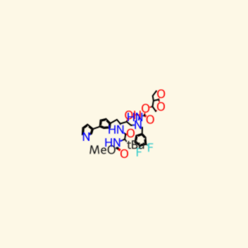 COC(=O)NC(C(=O)NC(Cc1ccc(-c2cccnc2)cc1)C(O)CN(Cc1ccc(F)c(F)c1)NC(=O)OC1COC2OCCC12)C(C)(C)C